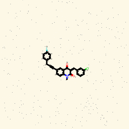 CN1C(=O)/C(=C\c2cccc(Cl)c2)C(=O)c2cc(C#CCc3ccc(F)cc3)ccc21